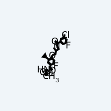 CS(=O)(=O)NC(=O)c1cc(C2CC2)c(OCC2CN(C(=O)c3cc(F)cc(Cl)c3)C2)cc1F